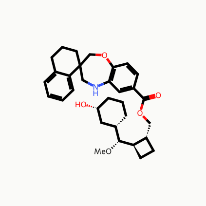 CO[C@H]([C@H]1CCC[C@@H](O)C1)[C@@H]1CC[C@H]1COC(=O)c1ccc2c(c1)NCC1(CCCc3ccccc31)CO2